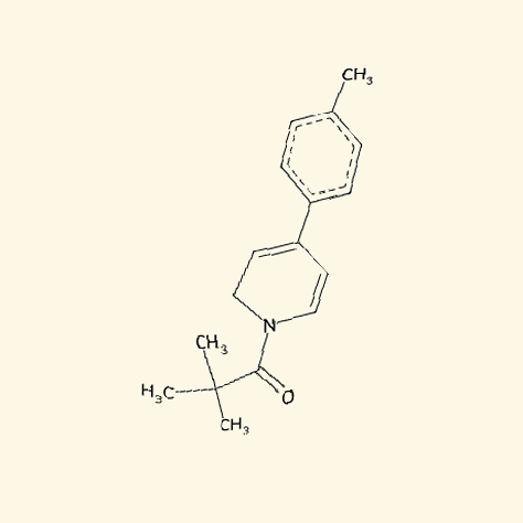 Cc1ccc(C2=CCN(C(=O)C(C)(C)C)C=C2)cc1